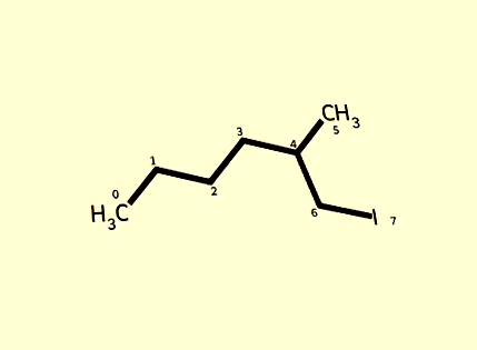 CCCCC(C)CI